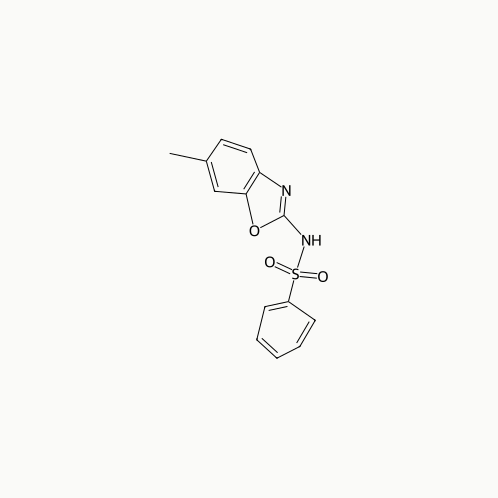 Cc1ccc2nc(NS(=O)(=O)c3ccccc3)oc2c1